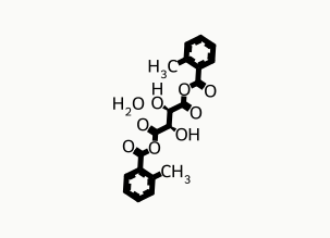 Cc1ccccc1C(=O)OC(=O)[C@H](O)[C@@H](O)C(=O)OC(=O)c1ccccc1C.O